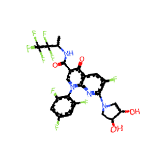 CC(NC(=O)c1cn(-c2c(F)cc(F)cc2F)c2nc(N3CC(O)C(O)C3)c(F)cc2c1=O)C(F)(F)C(F)(F)F